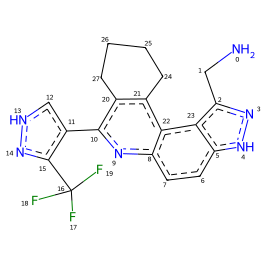 NCc1n[nH]c2ccc3nc(-c4c[nH]nc4C(F)(F)F)c4c(c3c12)CCCC4